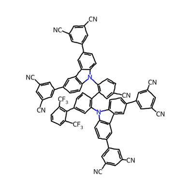 N#Cc1cc(C#N)cc(-c2ccc3c(c2)c2cc(-c4cc(C#N)cc(C#N)c4)ccc2n3-c2ccc(C#N)cc2-c2ccc(-c3c(C(F)(F)F)cccc3C(F)(F)F)cc2-n2c3ccc(-c4cc(C#N)cc(C#N)c4)cc3c3cc(-c4cc(C#N)cc(C#N)c4)ccc32)c1